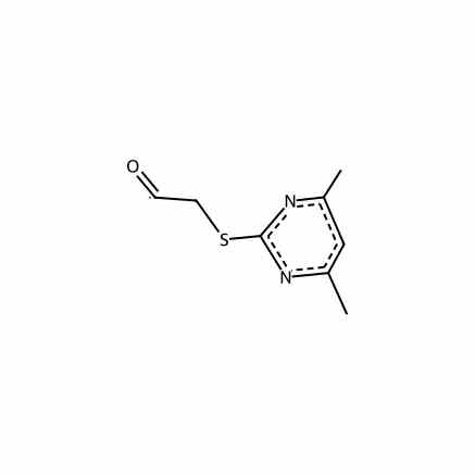 Cc1cc(C)nc(SC[C]=O)n1